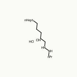 CCCCCCCCCCCCNNCCC.Cl.Cl